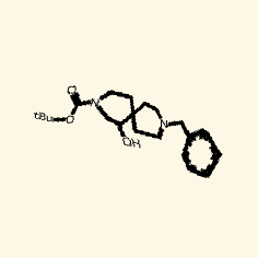 CC(C)(C)OC(=O)N1CCC2(CCN(Cc3ccccc3)CC2)C(O)C1